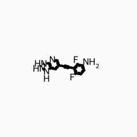 Nc1ccc(F)c(C#Cc2cnc3c(c2)NNN3)c1F